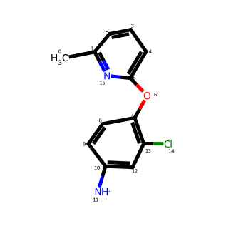 Cc1cccc(Oc2ccc([NH])cc2Cl)n1